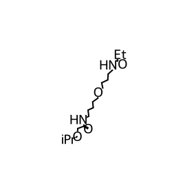 CCC(=O)NCCCCCOCCCCCNC(=O)COC(C)C